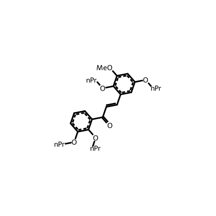 CCCOc1cc(C=CC(=O)c2cccc(OCCC)c2OCCC)c(OCCC)c(OC)c1